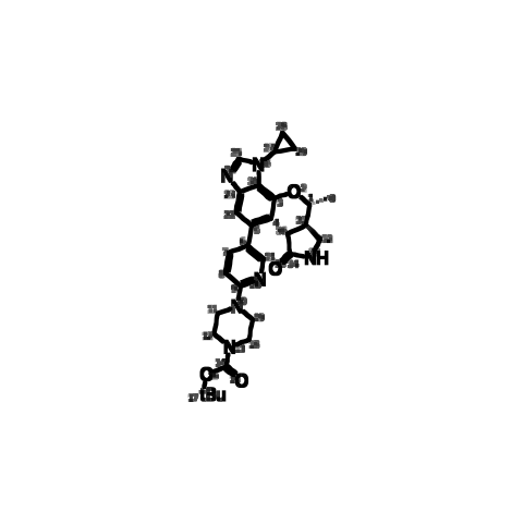 C[C@@H](Oc1cc(-c2ccc(N3CCN(C(=O)OC(C)(C)C)CC3)nc2)cc2ncn(C3CC3)c12)[C@H]1CNC(=O)C1